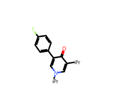 CC(C)c1cn(C(C)C)cc(-c2ccc(F)cc2)c1=O